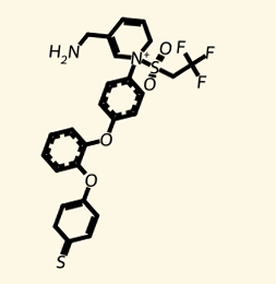 NCC1=C[N+](c2ccc(Oc3ccccc3OC3=CCC(=S)C=C3)cc2)(S(=O)(=O)CC(F)(F)F)CC=C1